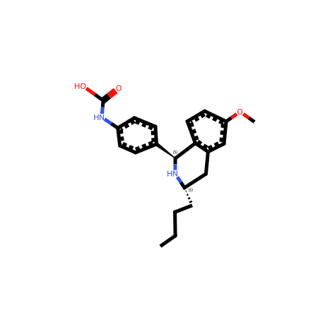 CCCC[C@H]1Cc2cc(OC)ccc2[C@H](c2ccc(NC(=O)O)cc2)N1